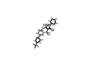 CC(C)(C)c1ccc(N2CCN(Cc3[nH]n(-c4ccccc4)c(=O)c3CCl)CC2)cc1